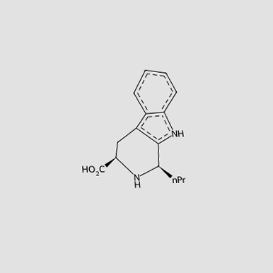 CCC[C@H]1N[C@@H](C(=O)O)Cc2c1[nH]c1ccccc21